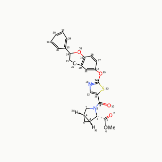 COC(=O)[C@@H]1[C@@H]2C[C@@H]2CN1C(=O)c1cnc(Oc2ccc3c(c2)CCC(c2ccccc2)O3)s1